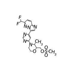 CC1C(COS(C)(=O)=O)OCCN1c1cc(-c2cnc3ccc(C(F)F)nn23)ncn1